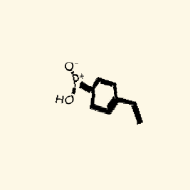 C=CC1=CC/C(=[P+](/[O-])O)C=C1